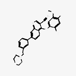 COc1cc(Nc2c(C#N)cnc3cc(-c4cccc(CN5CCOCC5)c4)ccc23)c(Cl)cc1Cl